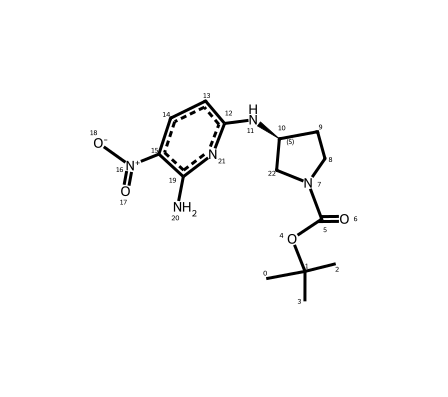 CC(C)(C)OC(=O)N1CC[C@H](Nc2ccc([N+](=O)[O-])c(N)n2)C1